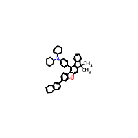 CC1(C)c2ccccc2-c2c1cc1oc3cc(-c4ccc5c(c4)CCCC5)ccc3c1c2-c1ccc(N(C2CCCCC2)C2CCCCC2)cc1